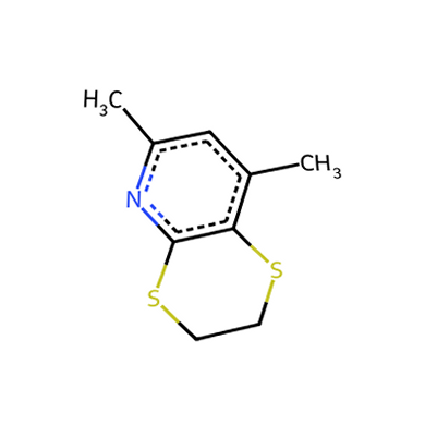 Cc1cc(C)c2c(n1)SCCS2